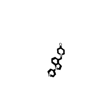 O=C1CCN(Cc2cccc3c2ccn3-c2ccncc2)CC1